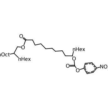 CCCCCCCCC(CCCCCC)COC(=O)CCCCCCCCC(CCCCCC)OC(=O)Oc1ccc([N+](=O)[O-])cc1